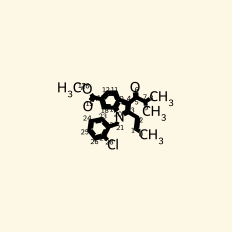 CC=Cc1c(C(=O)C(C)C)c2ccc(C(=O)OC)cc2n1Cc1ccccc1Cl